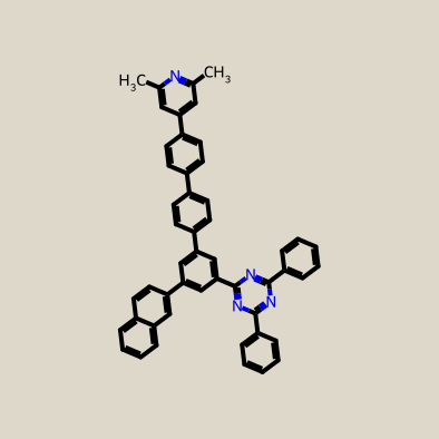 Cc1cc(-c2ccc(-c3ccc(-c4cc(-c5ccc6ccccc6c5)cc(-c5nc(-c6ccccc6)nc(-c6ccccc6)n5)c4)cc3)cc2)cc(C)n1